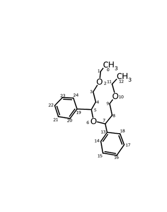 CCOCCC(OC(CCOCC)c1ccccc1)c1ccccc1